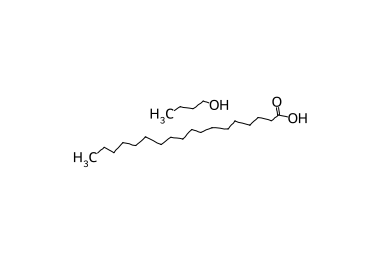 CCCCCCCCCCCCCCCCCC(=O)O.CCCCO